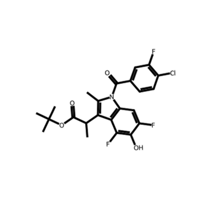 Cc1c(C(C)C(=O)OC(C)(C)C)c2c(F)c(O)c(F)cc2n1C(=O)c1ccc(Cl)c(F)c1